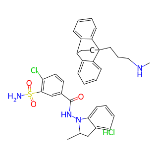 CC1Cc2ccccc2N1NC(=O)c1ccc(Cl)c(S(N)(=O)=O)c1.CNCCCC12CCC(c3ccccc31)c1ccccc12.Cl